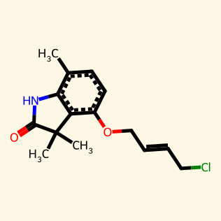 Cc1ccc(OC/C=C/CCl)c2c1NC(=O)C2(C)C